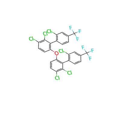 FC(F)(F)c1ccc(-c2c(Oc3ccc(Cl)c(Cl)c3-c3ccc(C(F)(F)F)cc3Cl)ccc(Cl)c2Cl)c(Cl)c1